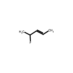 C[C]=CC(C)F